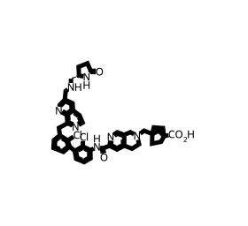 O=C1CC[C@@H](CNCc2cnc3c(Cc4cccc(-c5cccc(NC(=O)c6cc7c(cn6)CN(CC68CCC(C(=O)O)(CC6)C8)CC7)c5Cl)c4Cl)nccc3c2)N1